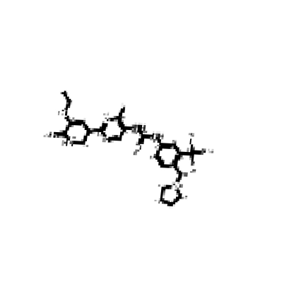 CCOC1=CC(c2ncc(NC(=O)Nc3ccc(CN4CCCC4)c(C(F)(F)F)c3)c(C)n2)CNC1=O